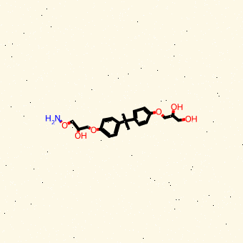 CC(C)(c1ccc(OCC(O)CO)cc1)c1ccc(OCC(O)CON)cc1